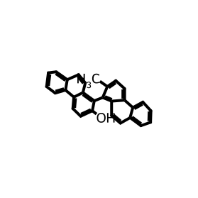 Cc1ccc2c(ccc3ccccc32)c1-c1c(O)ccc2c1ccc1ccccc12